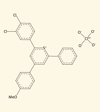 COc1ccc(-c2cc(-c3ccccc3)[s+]c(-c3ccc(Cl)c(Cl)c3)c2)cc1.[O-][Cl+3]([O-])([O-])[O-]